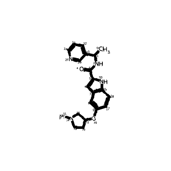 CC(NC(=O)c1cc2cc(OC3CCN(C(C)C)C3)ccc2[nH]1)c1cccnc1